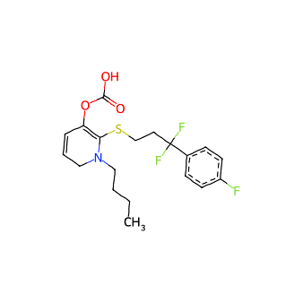 CCCCN1CC=CC(OC(=O)O)=C1SCCC(F)(F)c1ccc(F)cc1